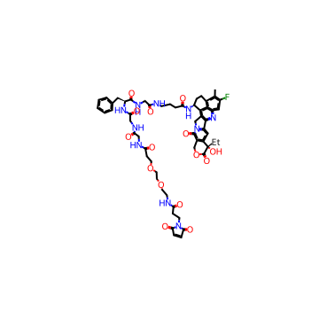 CC[C@@]1(O)C(=O)OCc2c1cc1n(c2=O)Cc2c-1nc1cc(F)c(C)c3c1c2[C@@H](NC(=O)CCCNC(=O)CNC(=O)[C@H](Cc1ccccc1)NC(=O)CNC(=O)CNC(=O)CCOCCOCCNC(=O)CCN1C(=O)C=CC1=O)CC3